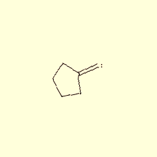 [C]=C1CCCC1